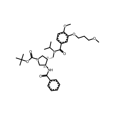 COCCCOc1cc(C(=O)N(C[C@H]2CN(C(=O)OC(C)(C)C)C[C@@H]2NC(=O)c2ccccc2)C(C)C)ccc1OC